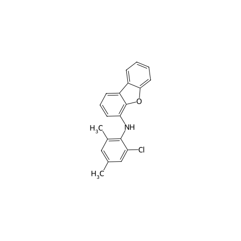 Cc1cc(C)c(Nc2cccc3c2oc2ccccc23)c(Cl)c1